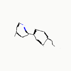 Cc1ccnc(-c2ccc(CC(C)C)cc2)c1